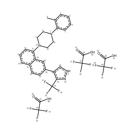 Cc1ccccc1N1CCN(c2ccnc3ccc(-c4c[nH]nc4C(F)(F)F)cc23)CC1.O=C(O)C(F)(F)F.O=C(O)C(F)(F)F.O=C(O)C(F)(F)F